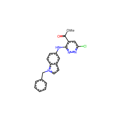 COC(=O)c1cc(Cl)nnc1Nc1ccc2c(ccn2Cc2ccccc2)c1